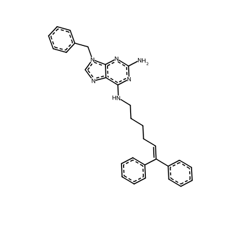 Nc1nc(NCCCCC=C(c2ccccc2)c2ccccc2)c2ncn(Cc3ccccc3)c2n1